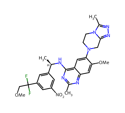 COCC(F)(F)c1cc([C@@H](C)Nc2nc(C)nc3cc(OC)c(N4CCn5c(C)nnc5C4)cc23)cc([N+](=O)[O-])c1